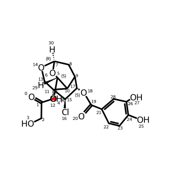 O=C(CO)O[C@@H]1O[C@@H]2CC3C1[C@](O)(CO2)[C@H](Cl)[C@H]3OC(=O)c1ccc(O)c(O)c1